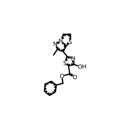 Cc1nn2ccsc2c1-c1nc(O)c(C(=O)OCc2ccccc2)s1